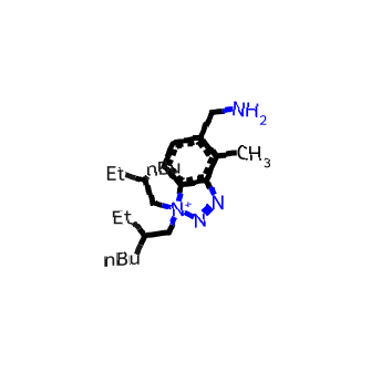 CCCCC(CC)C[N+]1(CC(CC)CCCC)N=Nc2c1ccc(CN)c2C